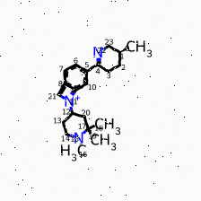 C[C@H]1CCC(c2ccc3c(c2)=[N+](C2CCN(C)C(C)(C)C2)C=3)=NC1